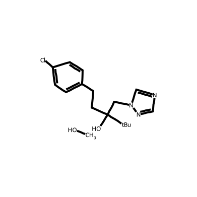 CC(C)(C)C(O)(CCc1ccc(Cl)cc1)Cn1cncn1.CO